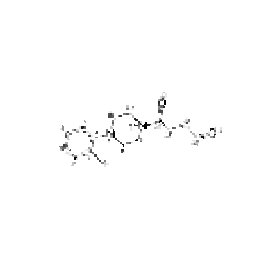 Cc1ccccc1N1CCN(C(=O)CCC=O)CC1